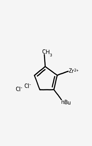 CCCCC1=[C]([Zr+2])C(C)=CC1.[Cl-].[Cl-]